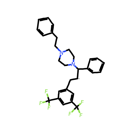 FC(F)(F)c1cc(C[CH]C(c2ccccc2)N2CCN(CCc3ccccc3)CC2)cc(C(F)(F)F)c1